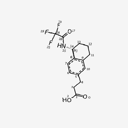 O=C(O)CCc1ccc2c(c1)CCC[C@H]2NC(=O)C(F)(F)F